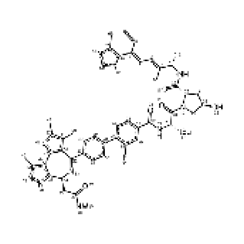 C=C/C(=C\C=C(/C)[C@H](C)NC(=O)[C@@H]1C[C@@H](O)CN1C(=O)[C@@H](NC(=O)c1ccc(-c2ccc(C3=N[C@@H](CC(=O)NC)c4nnc(C)n4-c4sc(C)c(C)c43)cc2)c(F)c1)C(C)(C)C)c1scnc1C